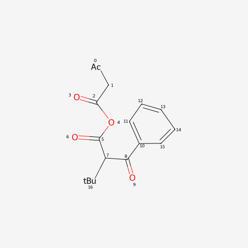 CC(=O)CC(=O)OC(=O)C(C(=O)c1ccccc1)C(C)(C)C